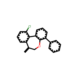 C=C1COc2c(-c3ccccc3)cccc2-c2c(Cl)cccc21